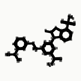 CC1Cc2c(cccc2S(N)(=O)=O)N1c1nc(NCc2cccc(B(O)O)c2)nc(C(N)=O)n1